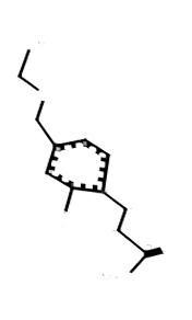 COCOCc1ccc(CCC(=O)OC)c(C(=O)O)c1